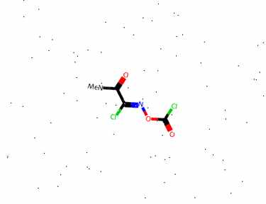 CNC(=O)C(Cl)=NOC(=O)Cl